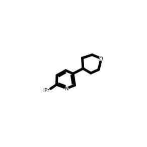 CC(C)c1ccc(C2CCOCC2)cn1